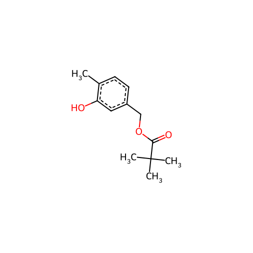 Cc1ccc(COC(=O)C(C)(C)C)cc1O